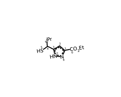 CCOC(=O)c1cc(C(S)C(C)C)[nH]n1